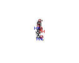 CNC(=O)c1cccc(-c2ccc(C[C@H](NC(=O)c3cc4cc(OC)ccc4o3)C(=O)O)cc2)c1